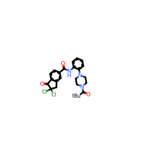 CC(C)(C)C(=O)N1CCN(c2ccccc2NC(=O)c2ccc3c(c2)CC(Cl)(Cl)C3=O)CC1